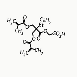 C=C(C)C(=O)OCC(CC)(COC(=O)C(=C)C)C(=O)OCS(=O)(=O)O.[CaH2]